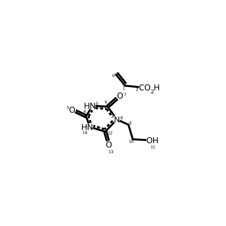 C=CC(=O)O.O=c1[nH]c(=O)n(CCO)c(=O)[nH]1